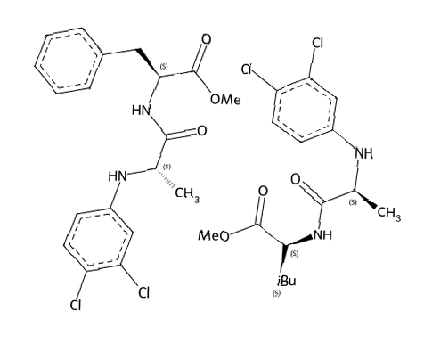 CC[C@H](C)[C@H](NC(=O)[C@H](C)Nc1ccc(Cl)c(Cl)c1)C(=O)OC.COC(=O)[C@H](Cc1ccccc1)NC(=O)[C@H](C)Nc1ccc(Cl)c(Cl)c1